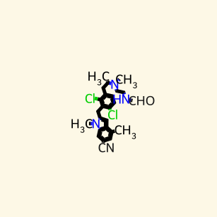 Cc1cc(C#N)cc2c1cc(Cc1c(Cl)ccc(CC(C)N(C)CCNC=O)c1Cl)n2C